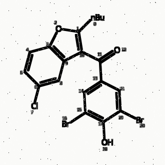 CCCCc1oc2ccc(Cl)cc2c1C(=O)c1cc(Br)c(O)c(Br)c1